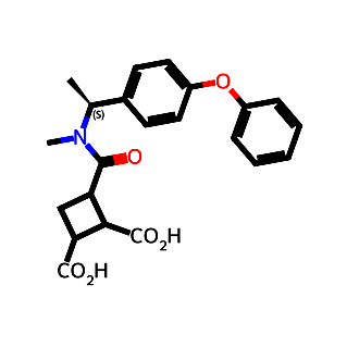 C[C@@H](c1ccc(Oc2ccccc2)cc1)N(C)C(=O)C1CC(C(=O)O)C1C(=O)O